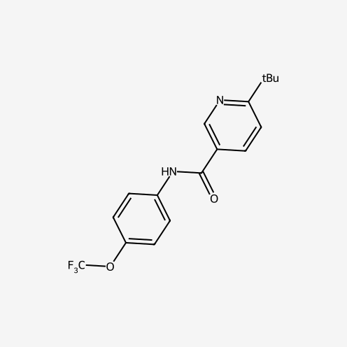 CC(C)(C)c1ccc(C(=O)Nc2ccc(OC(F)(F)F)cc2)cn1